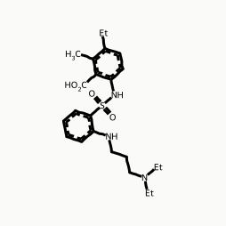 CCc1ccc(NS(=O)(=O)c2ccccc2NCCCN(CC)CC)c(C(=O)O)c1C